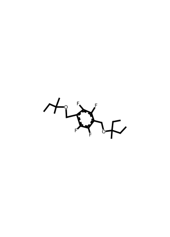 CCC(C)(C)OCc1c(F)c(F)c(COC(C)(CC)CC)c(F)c1F